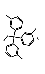 CC[P+](c1cccc(C)c1)(c1cccc(C)c1)c1cccc(C)c1.[Cl-]